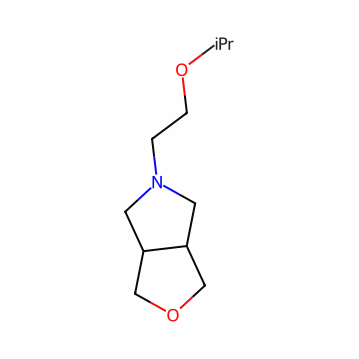 CC(C)OCCN1CC2COCC2C1